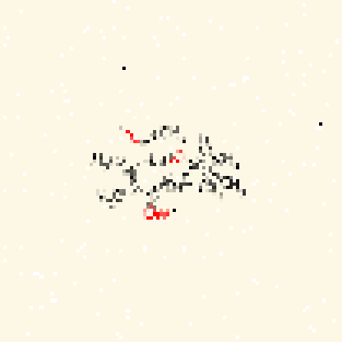 CC(=O)c1c(O[Si](C)(C)C(C)(C)C)cc(O)c(C)c1C